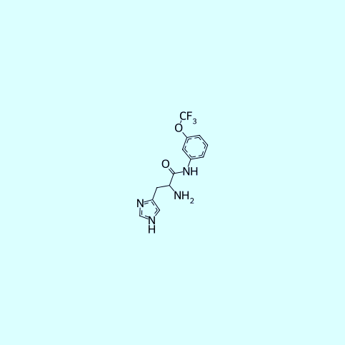 NC(Cc1c[nH]cn1)C(=O)Nc1cccc(OC(F)(F)F)c1